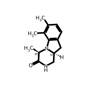 Cc1ccc2c(c1C)N1[C@H](CNC(=O)[C@H]1C)C2